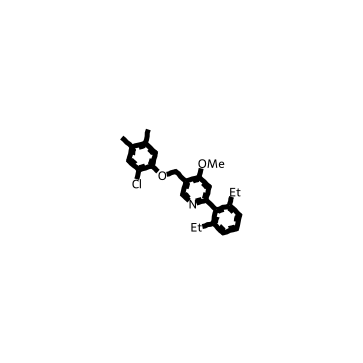 CCc1cccc(CC)c1-c1cc(OC)c(COc2cc(C)c(C)cc2Cl)cn1